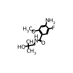 COc1cc(N)c(F)cc1C(=O)NCC(C)(C)O